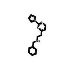 c1ccc(CNCCc2ccnc(-n3cccc3)n2)cc1